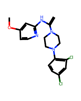 C=C(Nc1cc(OC)ccn1)N1CCN(c2ccc(Cl)cc2Cl)CC1